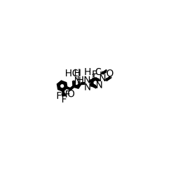 C[C@@H]1COCCN1c1ncc2nc(-c3cc(C(=O)c4ccccc4C(F)(F)F)c[nH]3)[nH]c2c1F.Cl